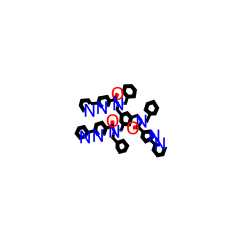 O=C(c1ccc(-c2ccccn2)nc1)N(Cc1ccccc1)Cc1cc(CN(Cc2ccccc2)C(=O)c2ccc(-c3ccccn3)nc2)cc(CN(Cc2ccccc2)C(=O)c2ccc(-c3ccccn3)nc2)c1